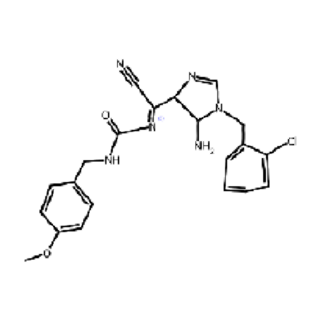 COc1ccc(CNC(=O)/N=C(\C#N)C2N=CN(Cc3ccccc3Cl)C2N)cc1